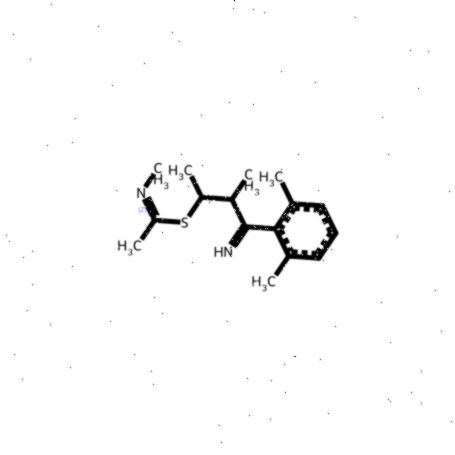 C/N=C(/C)SC(C)C(C)C(=N)c1c(C)cccc1C